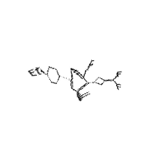 CC[C@H]1CC[C@H](c2cc(F)c(C3CC(=C(F)F)C3)c(F)c2)CC1